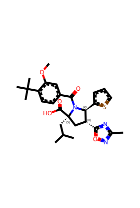 COc1cc(C(=O)N2[C@@H](c3cccs3)[C@H](c3nc(C)no3)C[C@@]2(CC(C)C)C(=O)O)ccc1C(C)(C)C